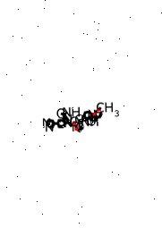 Cc1ccc(F)c(N2CCCC(NC(=O)[C@@H]3CCCN3C(=O)Cn3nc(C(N)=O)c4cc(-c5ccnnc5)ccc43)C2=O)c1